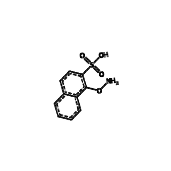 NOc1c(S(=O)(=O)O)ccc2ccccc12